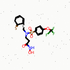 O=C(CCN(CCC1=CC=CCC1=S)S(=O)(=O)c1ccc(OC(F)(F)F)cc1)NO